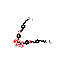 CCCCCC1CCC(C=CCOc2ccc(C(=O)O[C@@H](C(=O)O)[C@@H](OC(=O)c3ccc(OCC=CC4CCC(CCCCC)CC4)cc3)C(=O)O)cc2)CC1